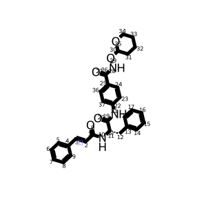 O=C(/C=C/c1ccccc1)N[C@@H](Cc1ccccc1)C(=O)Nc1ccc(C(=O)NOC2CCCCO2)cc1